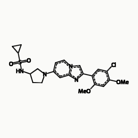 COc1cc(OC)c(-c2cn3ccc(N4CCC(NS(=O)(=O)C5CC5)C4)cc3n2)cc1Cl